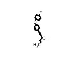 CCCC(O)C#Cc1ccc(Oc2ccc(F)cc2)cc1